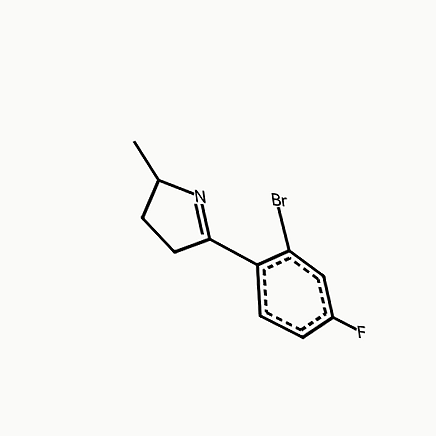 CC1CCC(c2ccc(F)cc2Br)=N1